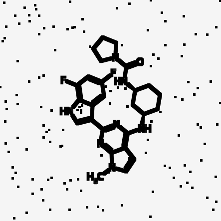 Cn1ccc2c(N[C@@H]3CCC[C@H](NC(=O)N4CCCC4)C3)nc(-c3c[nH]c4c(F)cc(F)cc34)nc21